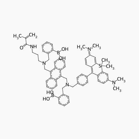 C=C(C)C(=O)NCCCN(Cc1ccccc1B(O)O)Cc1c2ccccc2c(CN(Cc2ccc(C3=C4C=CC(=[N+](C)C)C=C4[Si](C)(C)c4cc(N(C)C)ccc43)cc2)Cc2ccccc2B(O)O)c2ccccc12